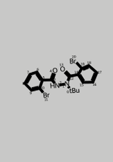 CC(C)(C)N(NC(=O)c1ccccc1Br)C(=O)c1ccccc1Br